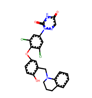 O=c1cnn(-c2cc(Cl)c(Oc3ccc(O)c(CN4CCCc5ccccc54)c3)c(Cl)c2)c(=O)[nH]1